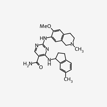 COc1cc2c(cc1Nc1ncc(C(N)=O)c(NC3CCc4ccc(C)cc43)n1)CN(C)CC2